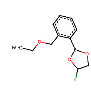 COCOCc1ccccc1B1OCC(F)O1